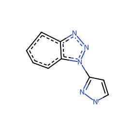 C1=CC(n2nnc3ccccc32)=N[N]1